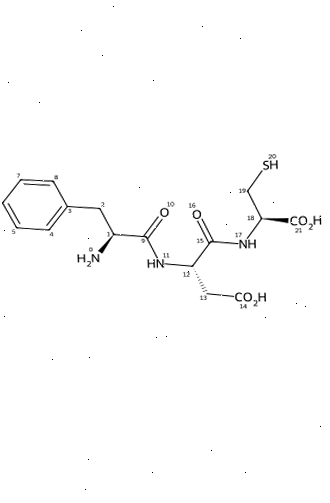 N[C@@H](Cc1ccccc1)C(=O)N[C@@H](CC(=O)O)C(=O)N[C@@H](CS)C(=O)O